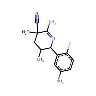 CC1CC(C)(C#N)C(N)=NC1c1cc(N)ccc1F